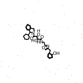 O=C(NCc1nc(Cc2ccccc2O)co1)[C@H](O)[C@@H](O)C(=O)N1CCc2ccccc2C1C1CCCCC1